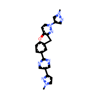 Cn1cc(-n2ccc(=O)c(Cc3cccc(-c4ncc(-c5ccn(C)n5)cn4)c3)n2)cn1